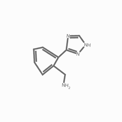 NCc1ccccc1-c1nc[nH]n1